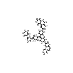 c1ccc2c(c1)ccc1ccc(-c3ccc(N(c4ccc(-c5ccc6ccc7ccccc7c6c5)cc4)c4ccc(-c5cccc6c5oc5ccccc56)cc4)cc3)cc12